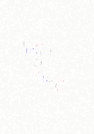 CC(=O)N[C@@H](C)c1ccc(OC2CN(c3cc4c(cc3F)OCCO4)C2)cc1